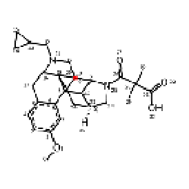 COc1ccc2c(c1)C13CCN(CC4CC4)C(C2)C12CCC1C3[C@@H](CN1C(=O)C(C)(C)C(=O)O)C2